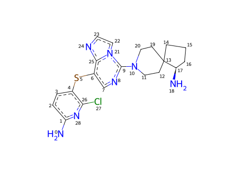 Nc1ccc(Sc2cnc(N3CCC4(CCC[C@H]4N)CC3)n3ccnc23)c(Cl)n1